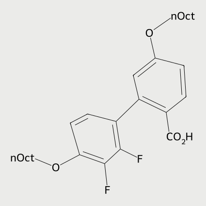 CCCCCCCCOc1ccc(C(=O)O)c(-c2ccc(OCCCCCCCC)c(F)c2F)c1